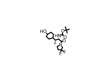 C[C@@H](C1CCC(O)CC1)[C@H](NC(=O)OC(C)(C)C)C(=O)N1CCC(F)(F)C1